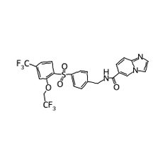 O=C(NCc1ccc(S(=O)(=O)c2ccc(C(F)(F)F)cc2OCC(F)(F)F)cc1)c1ccc2nccn2c1